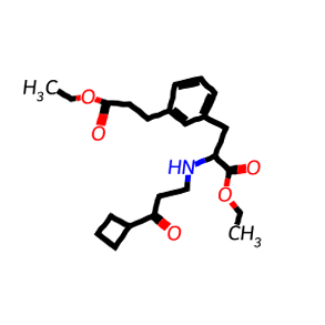 CCOC(=O)CCc1cccc(CC(NCCC(=O)C2CCC2)C(=O)OCC)c1